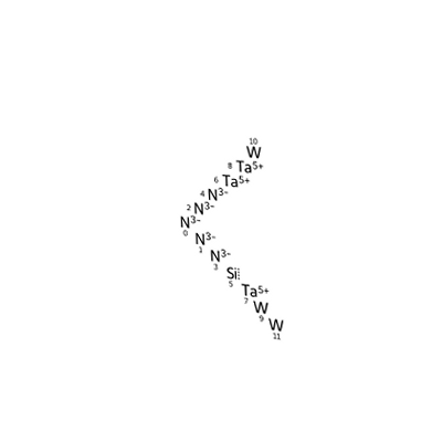 [N-3].[N-3].[N-3].[N-3].[N-3].[Si].[Ta+5].[Ta+5].[Ta+5].[W].[W].[W]